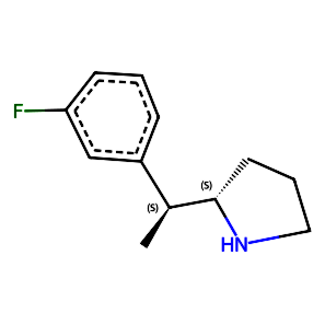 C[C@@H](c1cccc(F)c1)[C@@H]1CCCN1